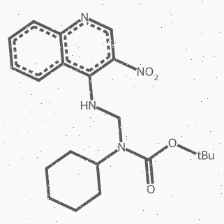 CC(C)(C)OC(=O)N(CNc1c([N+](=O)[O-])cnc2ccccc12)C1CCCCC1